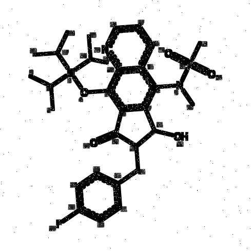 CC(C)[Si](Oc1c2c(c(N(C)S(C)(=O)=O)c3cccnc13)C(O)C(Cc1ccc(F)cc1)C2=O)(C(C)C)C(C)C